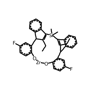 CCC1=C2c3ccccc3C1c1cc(F)ccc1[O][Zr][O]c1ccc(F)cc1C1C(CC)=C(c3ccccc31)[Si]2(C)C